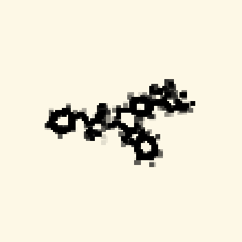 N[C@@H](Cc1ccccc1)C(=O)N[C@@H](Cc1ccc(C2=CC(=O)NS2(=O)=O)cc1)c1nc2ccccc2[nH]1